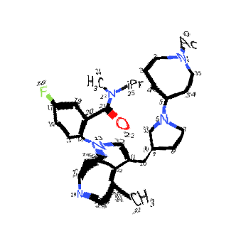 CC(=O)N1CCCC(N2CC[C@@H](Cc3cn(-c4ccc(F)cc4C(=O)N(C)C(C)C)c4cncc(C)c34)C2)CC1